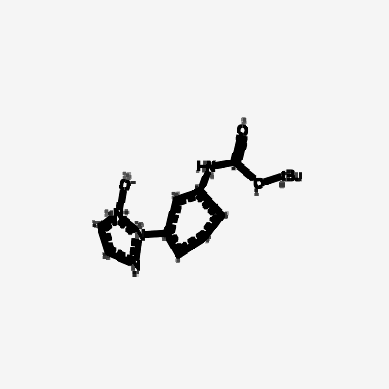 CC(C)(C)OC(=O)Nc1cccc(-n2ncc[n+]2[O-])c1